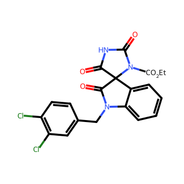 CCOC(=O)N1C(=O)NC(=O)C12C(=O)N(Cc1ccc(Cl)c(Cl)c1)c1ccccc12